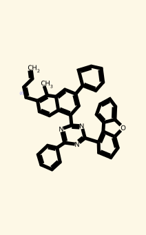 C=C/C=C\c1ccc2c(-c3nc(-c4ccccc4)nc(-c4cccc5oc6ccccc6c45)n3)cc(-c3ccccc3)cc2c1C